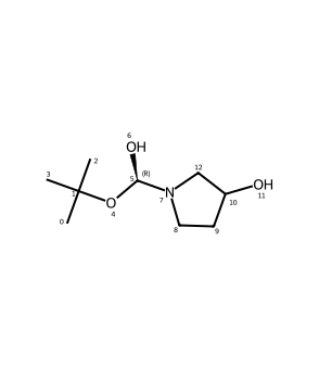 CC(C)(C)O[C@@H](O)N1CCC(O)C1